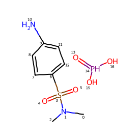 CN(C)S(=O)(=O)c1ccc(N)cc1.O=[PH](O)O